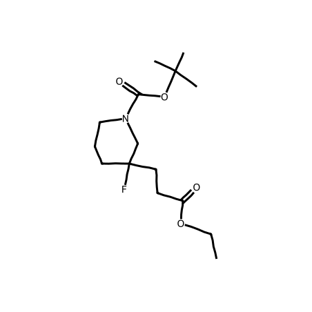 CCOC(=O)CCC1(F)CCCN(C(=O)OC(C)(C)C)C1